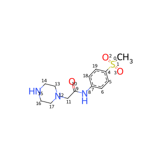 CS(=O)(=O)c1ccc(NC(=O)CN2CCNCC2)cc1